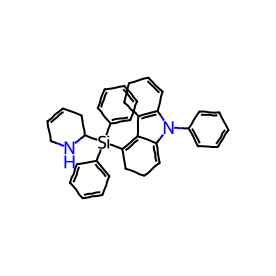 C1=Cc2c(c3c(n2-c2ccccc2)=CCCC=3[Si](c2ccccc2)(c2ccccc2)C2CC=CCN2)CC1